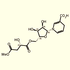 COC(=O)C[C@H](O)C(=O)OC[C@H]1O[C@@H](N2C=CCC(C(=O)O)=C2)[C@H](O)[C@@H]1O